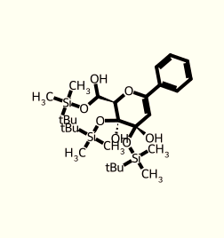 CC(C)(C)[Si](C)(C)OC(O)[C@H]1OC(c2ccccc2)=C[C@](O)(O[Si](C)(C)C(C)(C)C)[C@@]1(O)O[Si](C)(C)C(C)(C)C